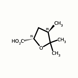 C[C@@H]1C[C@@H](C(=O)O)OC1(C)C